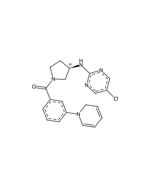 O=C(c1cccc(N2C=CC=CC2)c1)N1CC[C@@H](Nc2ncc(Cl)cn2)C1